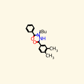 Cc1ccc(C(=O)NN(C(=O)c2ccccc2)C(C)(C)C)cc1C